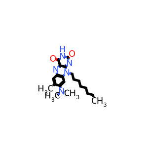 CCCCCCCCn1c2nc(=O)[nH]c(=O)c-2nc2cc(C)c(N(C)C)cc21